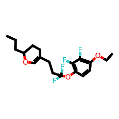 CCCC1CCC(CCC(F)(F)Oc2ccc(OCC)c(F)c2F)=CO1